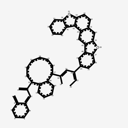 C=C(/C=c1/ccccc1=C)c1ccccccc(/C(C)=C/C(=C\C)c2ccc3oc4cc5ccc6oc7ccccc7c6c5cc4c3c2)c2ccccc12